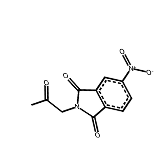 CC(=O)CN1C(=O)c2ccc([N+](=O)[O-])cc2C1=O